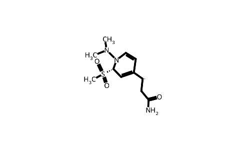 CN(C)N1C=CC([CH]CC(N)=O)=C[C@@H]1S(C)(=O)=O